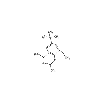 CCc1cc(C(C)(C)C)cc(CC)c1OC(C)C